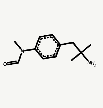 CN(C=O)c1ccc(CC(C)(C)N)cc1